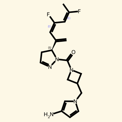 C=C(/C=C(F)\C=C(/C)F)[C@@H]1CC=NN1C(=O)N1CC(Cn2ccc(N)c2)C1